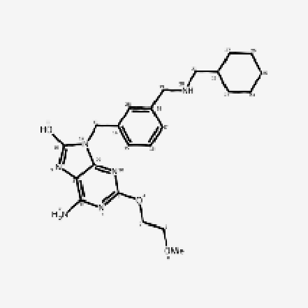 COCCOc1nc(N)c2nc(O)n(Cc3cccc(CNCC4CCCCC4)c3)c2n1